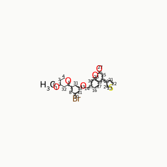 COC1CCOC(c2cc(Br)cc(OCc3ccc4c(-c5ccsc5)cc(=O)oc4c3)c2)C1